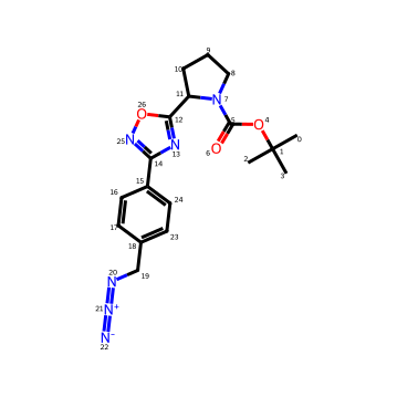 CC(C)(C)OC(=O)N1CCCC1c1nc(-c2ccc(CN=[N+]=[N-])cc2)no1